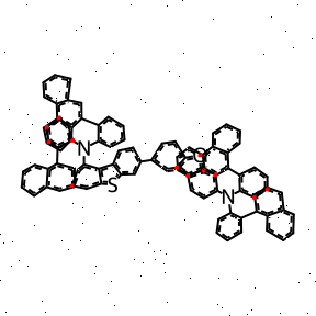 c1ccc(N(c2ccc3c(c2)oc2ccc(-c4ccc5c(c4)sc4cccc(N(c6ccccc6-c6cccc7ccccc67)c6ccccc6-c6cc7ccccc7c7ccccc67)c45)cc23)c2ccccc2-c2cc3ccccc3c3ccccc23)c(-c2cccc3ccccc23)c1